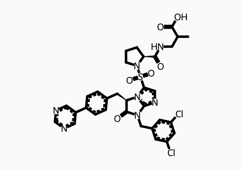 CC(CNC(=O)[C@@H]1CCCN1S(=O)(=O)c1cnc2n1[C@H](Cc1ccc(-c3cncnc3)cc1)C(=O)N2Cc1cc(Cl)cc(Cl)c1)C(=O)O